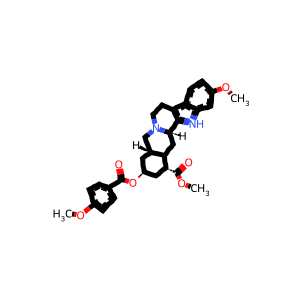 COC(=O)[C@@H]1C[C@H](OC(=O)c2ccc(OC)cc2)C[C@@H]2CN3CCc4c([nH]c5cc(OC)ccc45)[C@H]3CC21